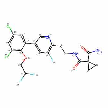 NC(=O)C1(C(=O)NCCc2ncc(-c3cc(Cl)cc(Cl)c3OCC(F)F)cc2F)CC1